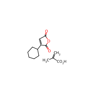 C=C(C)C(=O)O.O=C1C=C(C2CCCCC2)C(=O)O1